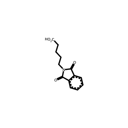 O=C(O)CCCCN1C(=O)c2ccccc2C1=O